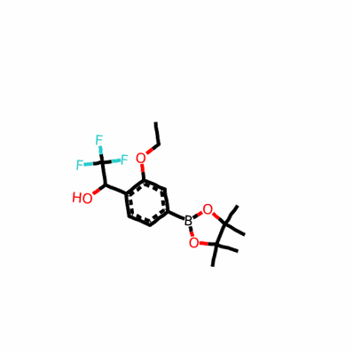 CCOc1cc(B2OC(C)(C)C(C)(C)O2)ccc1C(O)C(F)(F)F